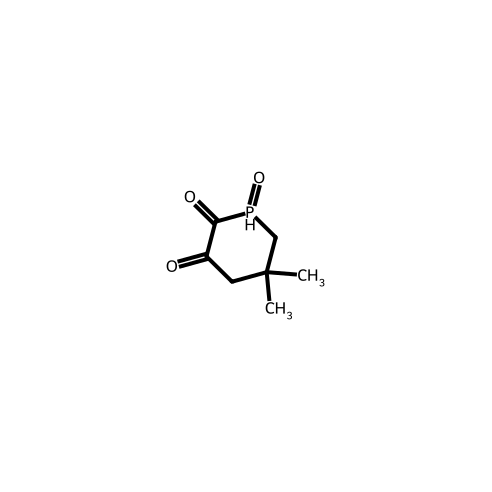 CC1(C)CC(=O)C(=O)[PH](=O)C1